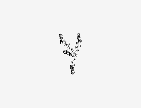 O=C=NCCCCCC(CCCCN=C=O)C(CCCCCN=C=O)N=C=O